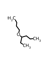 [CH2]CCCOC(CC)CCC